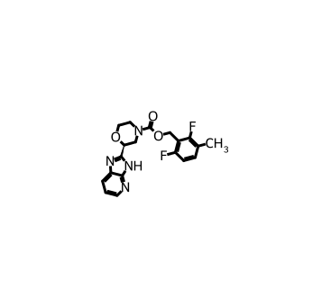 Cc1ccc(F)c(COC(=O)N2CCO[C@H](c3nc4cccnc4[nH]3)C2)c1F